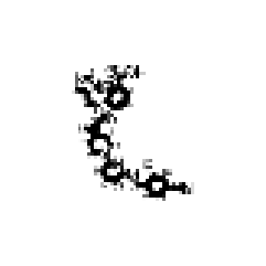 Cn1cncc1Cn1c(C2CC23CCN(c2cccc(OCc4ccc(C#N)cc4F)n2)CC3)nc2ccc(C(=O)O)cc21